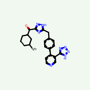 CCCC1CCCC(C(=O)c2n[nH]c(Cc3ccc(-c4ccncc4-c4nnn[nH]4)cc3)n2)C1